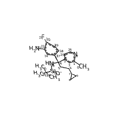 Cc1cc(C(CCC2CC2)(N[S+]([O-])C(C)(C)C)c2ccc(F)c(N)c2)ccn1